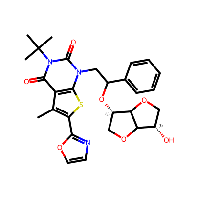 Cc1c(-c2ncco2)sc2c1c(=O)n(C(C)(C)C)c(=O)n2CC(O[C@H]1COC2C1OC[C@@H]2O)c1ccccc1